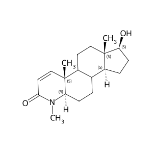 CN1C(=O)C=C[C@]2(C)C3CC[C@]4(C)[C@@H](O)CC[C@H]4C3CC[C@@H]12